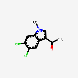 CC(=O)c1cn(C)c2cc(Cl)c(Cl)cc12